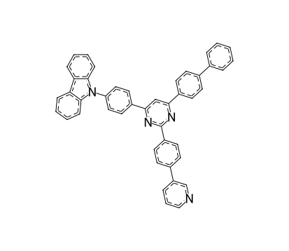 c1ccc(-c2ccc(-c3cc(-c4ccc(-n5c6ccccc6c6ccccc65)cc4)nc(-c4ccc(-c5cccnc5)cc4)n3)cc2)cc1